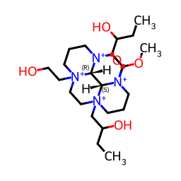 CCC(O)C[N+]12CCC[N+]3(CCO)CC[N+]4(CC(O)CC)CCC[N+](C(=O)OC)(CC1)[C@H]4[C@H]32